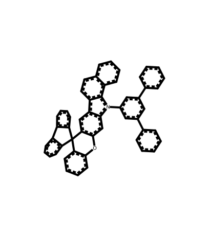 c1ccc(-c2cc(-c3ccccc3)cc(-n3c4cc5c(cc4c4ccc6ccccc6c43)C3(c4ccccc4O5)c4ccccc4-c4ccccc43)c2)cc1